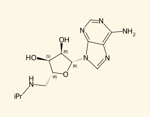 CC(C)NC[C@H]1O[C@@H](n2cnc3c(N)ncnc32)[C@H](O)[C@@H]1O